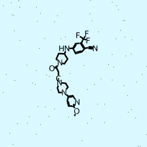 COc1ccc(N2CCN(CCC(=O)N3CCC(Nc4ccc(C#N)c(C(F)(F)F)c4)CC3)CC2)cn1